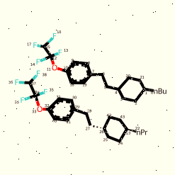 CCCCC1CCC(CCc2ccc(OC(F)(F)C(F)F)cc2)CC1.CCC[C@H]1CC[C@H](CCc2ccc(OC(F)(F)C(F)F)cc2)CC1